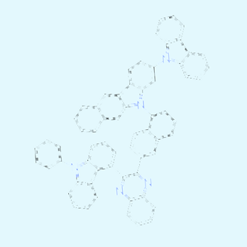 c1ccc(-n2c3ccccc3c3c(-c4nc5ccccc5nc4-c4ccc5c(-n6c7cc(-n8c9ccccc9c9ccccc98)ccc7c7cc8ccccc8cc76)cccc5c4)cccc32)cc1